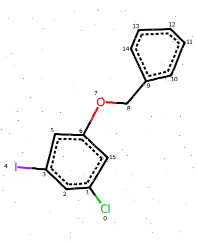 Clc1cc(I)cc(OCc2ccccc2)c1